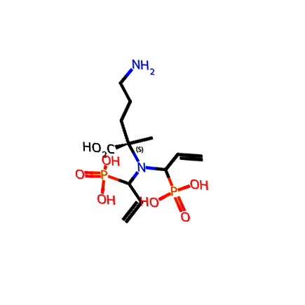 C=CC(N(C(C=C)P(=O)(O)O)[C@@](C)(CCCN)C(=O)O)P(=O)(O)O